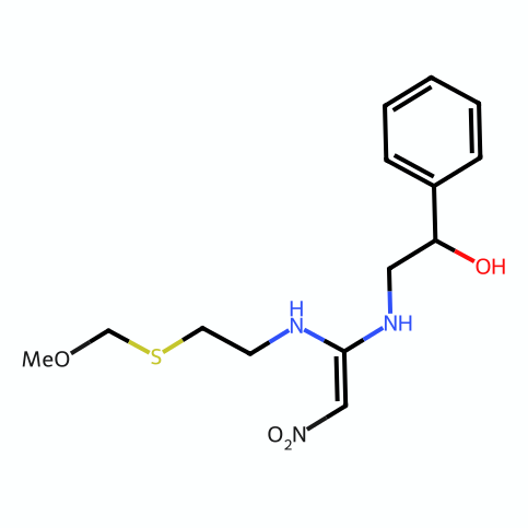 COCSCCNC(=C[N+](=O)[O-])NCC(O)c1ccccc1